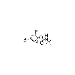 CC(C)(C)NC(=O)Oc1ncc(Br)cc1F